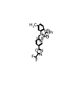 B[SH](=O)(C(CCC)CCC)N(Cc1ccc(-c2nnc(C(F)F)o2)cn1)c1cccc(C)c1